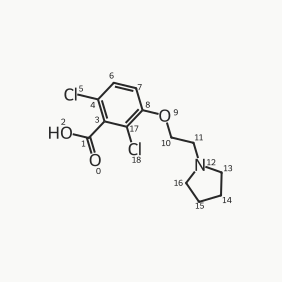 O=C(O)c1c(Cl)ccc(OCCN2CCCC2)c1Cl